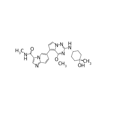 CNC(=O)c1cnc2ccc(-c3ccn4nc(N[C@H]5CC[C@@](C)(O)CC5)nc(OC)c34)cn12